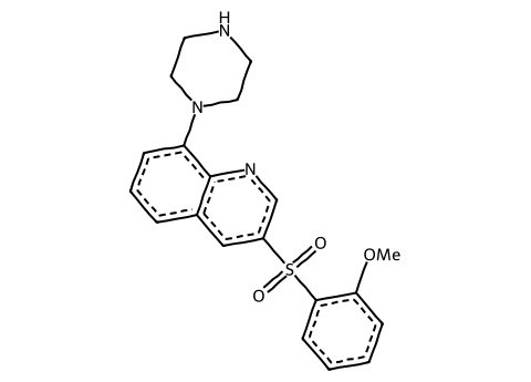 COc1ccccc1S(=O)(=O)c1cnc2c(N3CCNCC3)cccc2c1